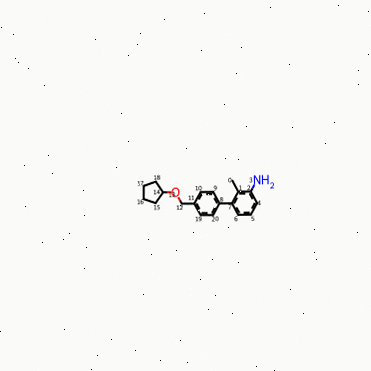 Cc1c(N)cccc1-c1ccc(COC2CCCC2)cc1